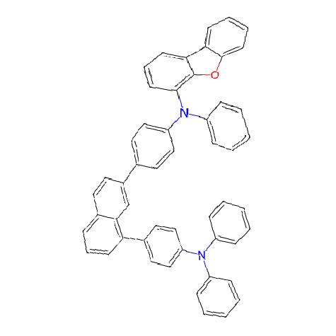 c1ccc(N(c2ccccc2)c2ccc(-c3cccc4ccc(-c5ccc(N(c6ccccc6)c6cccc7c6oc6ccccc67)cc5)cc34)cc2)cc1